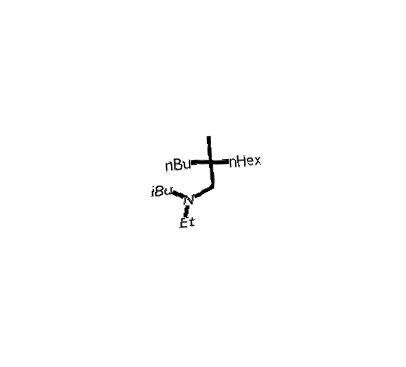 CCCCCCC(C)(CCCC)CN(CC)C(C)CC